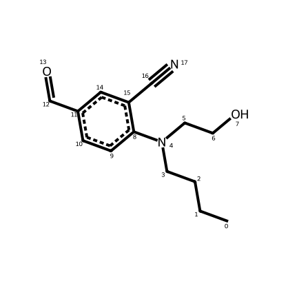 CCCCN(CCO)c1ccc(C=O)cc1C#N